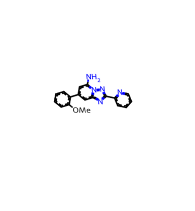 COc1ccccc1-c1cc(N)n2nc(-c3ccccn3)nc2c1